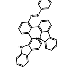 c1ccc(N=Nc2cccc(-c3cccc4c3[nH]c3ccccc34)c2-c2cccc3c2[nH]c2ccccc23)cc1